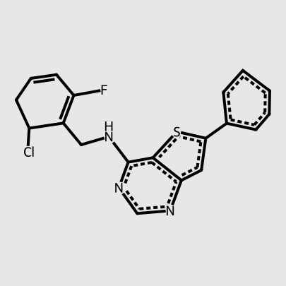 FC1=C(CNc2ncnc3cc(-c4ccccc4)sc23)C(Cl)CC=C1